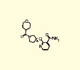 NC(=O)c1cccnc1O[C@@H]1CCN(C(=O)C2CCOCC2)C1